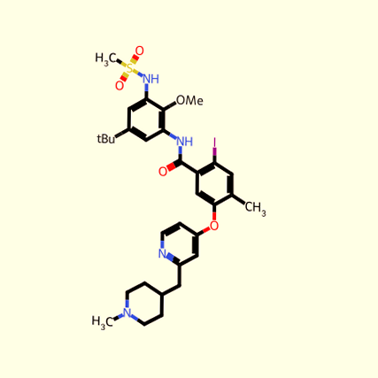 COc1c(NC(=O)c2cc(Oc3ccnc(CC4CCN(C)CC4)c3)c(C)cc2I)cc(C(C)(C)C)cc1NS(C)(=O)=O